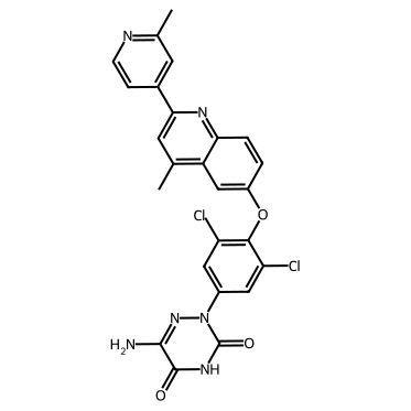 Cc1cc(-c2cc(C)c3cc(Oc4c(Cl)cc(-n5nc(N)c(=O)[nH]c5=O)cc4Cl)ccc3n2)ccn1